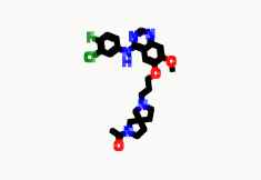 COc1cc2ncnc(Nc3ccc(F)c(Cl)c3)c2cc1OCCCN1CCC2(CCN(C(C)=O)C2)C1